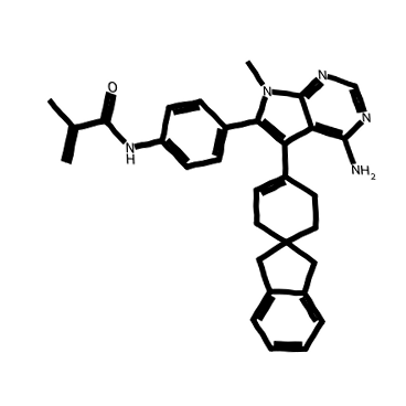 C=C(C)C(=O)Nc1ccc(-c2c(C3=CCC4(CC3)Cc3ccccc3C4)c3c(N)ncnc3n2C)cc1